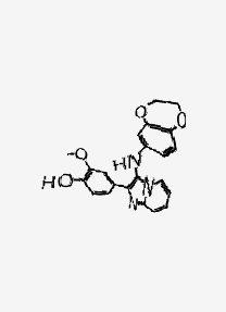 COc1cc(-c2nc3ccccn3c2Nc2ccc3c(c2)OCCO3)ccc1O